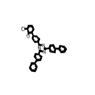 Clc1cccc(-c2ccc(-c3nc(-c4ccc(-c5ccccc5)cc4)nc(-c4ccc(-c5ccccc5)cc4)n3)cc2)c1Cl